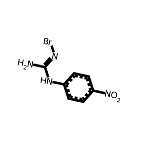 NC(=NBr)Nc1ccc([N+](=O)[O-])cc1